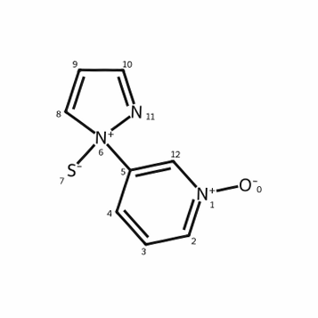 [O-][n+]1cccc([N+]2([S-])C=CC=N2)c1